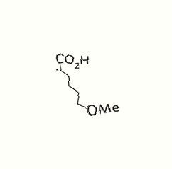 COCCCC[CH]C(=O)O